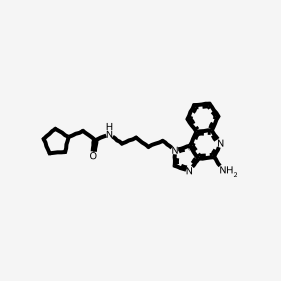 Nc1nc2ccccc2c2c1ncn2CCCCNC(=O)CC1CCCC1